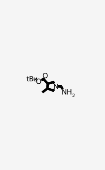 CC1CN(CN)CC1C(=O)OC(C)(C)C